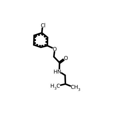 CC(C)CNC(=O)COc1cccc(Cl)c1